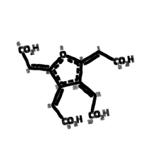 O=C(O)C=c1oc(=CC(=O)O)c(=CC(=O)O)c1=CC(=O)O